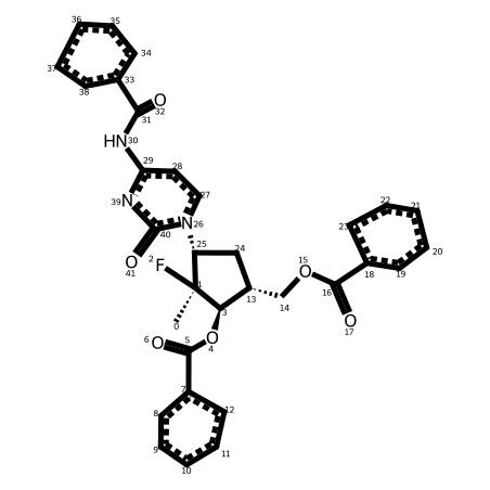 C[C@@]1(F)[C@H](OC(=O)c2ccccc2)[C@@H](COC(=O)c2ccccc2)C[C@H]1n1ccc(NC(=O)c2ccccc2)nc1=O